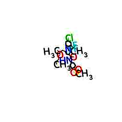 CCCCO[C@@H](C)Cc1cc(C(=O)Nc2ccc(S(C)(=O)=O)cc2)c(C)n1-c1ccc(Cl)cc1C(F)(F)F